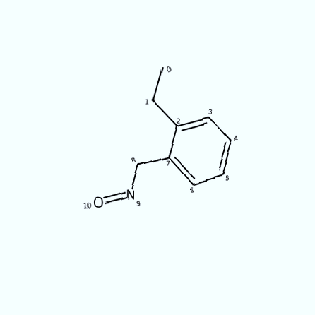 CCc1ccccc1CN=O